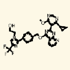 COc1ncnc(C2CC2)c1-c1nc(OCc2ccc(-c3nc(C(F)(F)F)cn3CCO)cc2)c2cccnc2n1